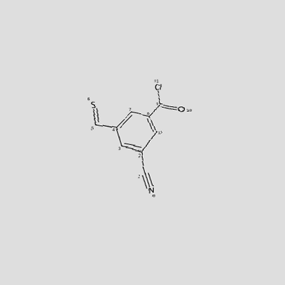 N#Cc1cc(C=S)cc(C(=O)Cl)c1